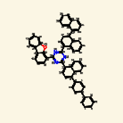 c1ccc(-c2ccc(-c3ccc(-c4nc(-c5ccc(-c6cccc7ccccc67)c6ccccc56)nc(-c5cccc6c5oc5ccccc56)n4)c4ccccc34)cc2)cc1